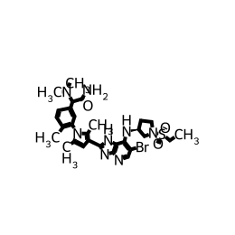 CCS(=O)(=O)N1CC[C@H](Nc2c(Br)cnc3nc(-c4cc(C)n(-c5cc(C(C(N)=O)N(C)C)ccc5C)c4C)[nH]c23)C1